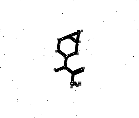 C=C(C(=O)O)C(C)C1CCC2OC2C1